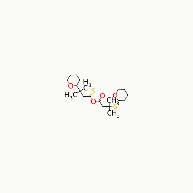 CC(C)(CC(=O)OC(=S)CC(C)(C)C1CCCCO1)SC1CCCCO1